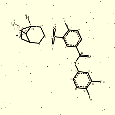 C[C@H]1CC2C[C@@H](S(=O)(=O)c3cc(C(=O)Nc4ccc(F)c(F)c4)ccc3F)C[C@H]1[C@]2(C)O